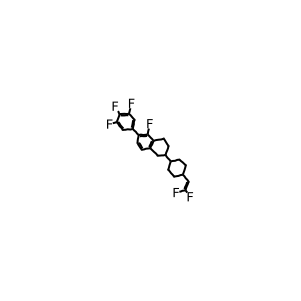 FC(F)=CC1CCC(C2CCc3c(ccc(-c4cc(F)c(F)c(F)c4)c3F)C2)CC1